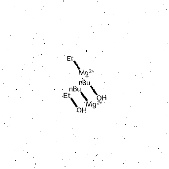 CCCCO.CCC[CH2][Mg+2].CCO.C[CH2][Mg+2]